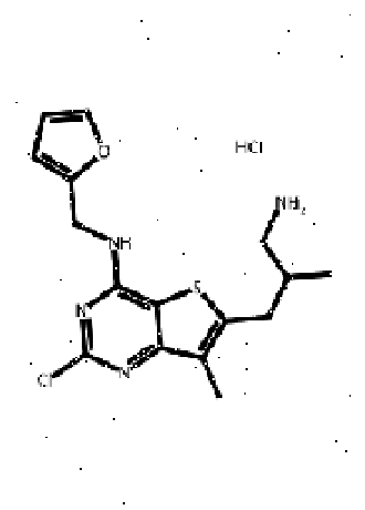 Cc1c(CC(C)CN)sc2c(NCc3ccco3)nc(Cl)nc12.Cl